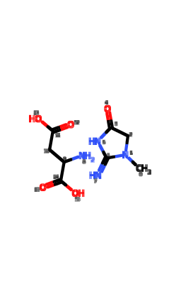 CN1CC(=O)NC1=N.NC(CC(=O)O)C(=O)O